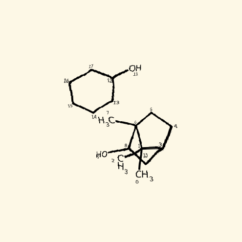 CC1(C)C2CCC1(C)C(O)C2.OC1CCCCC1